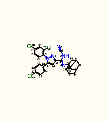 N#CNC(=NC12CC3CC(CC(C3)C1)C2)c1cc(-c2ccc(Cl)cc2)n(-c2ccc(Cl)cc2Cl)n1